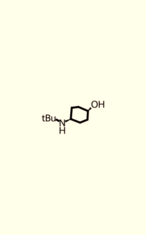 CC(C)(C)N[C@H]1CC[C@@H](O)CC1